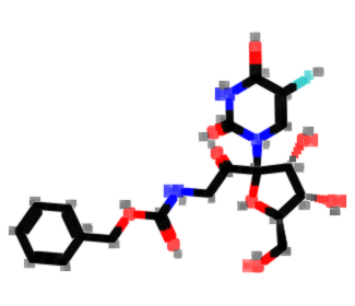 O=C(NCC(=O)[C@@]1(n2cc(F)c(=O)[nH]c2=O)O[C@H](CO)[C@@H](O)[C@H]1O)OCc1ccccc1